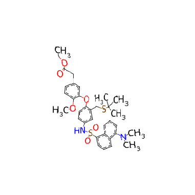 CCOC(=O)Cc1ccc(OC)c(Oc2ccc(NS(=O)(=O)c3cccc4c(N(C)C)cccc34)cc2CSC(C)(C)C)c1